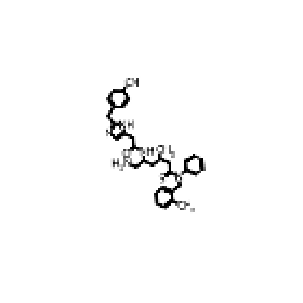 CC(CC(=S)N(Cc1ccccc1C(F)(F)F)c1ccccc1)CC(CN)NC(=O)Cc1cnc(Cc2ccc(C#N)cc2)[nH]1